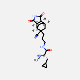 CN[C@@H](CC1CC1)C(=O)NCCCC1(C#N)C[C@H]2CC[C@@H]1[C@H]1C(=O)NC(=O)[C@@H]21